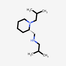 CC(C)CNC[C@@H]1CCCCN1CC(C)C